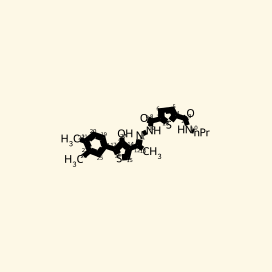 CCCNC(=O)c1ccc(C(=O)NN=C(C)c2csc(-c3ccc(C)c(C)c3)c2O)s1